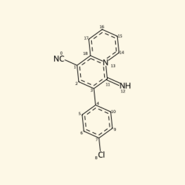 N#Cc1cc(-c2ccc(Cl)cc2)c(=N)n2ccccc12